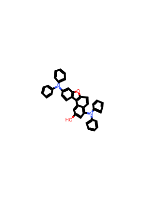 Oc1cc(N(c2ccccc2)c2ccccc2)c2ccc3oc4cc(N(c5ccccc5)c5ccccc5)ccc4c3c2c1